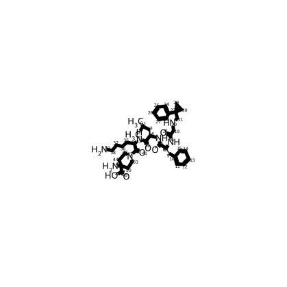 CC(C)C[C@@H](NC(=O)[C@@H](Cc1ccccc1)NC(=O)CNCC1(c2ccccc2)CC1)C(=O)NC(CCCCN)C(=O)N1CCC(N)(C(=O)O)CC1